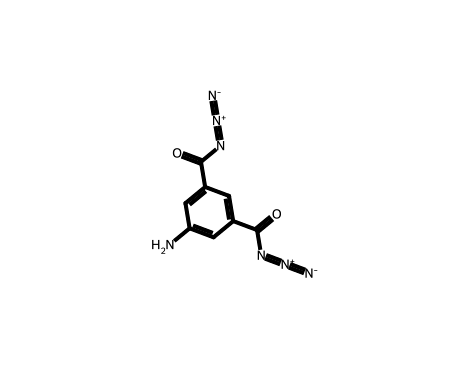 [N-]=[N+]=NC(=O)c1cc(N)cc(C(=O)N=[N+]=[N-])c1